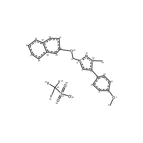 COc1ccc(-c2c[n+](COc3ccc4ccccc4c3)nn2C)cc1.O=S(=O)([O-])C(F)(F)F